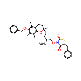 CNC(CCC1(C)CCc2c(C)c(OCc3ccccc3)c(C)c(C)c2O1)CON1C(=O)SC(Cc2ccccc2)C1=O